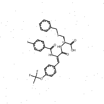 O=C(N[C@@H](CSCc1ccccc1)C(=O)O)C(=Cc1ccc(OC(F)(F)F)cc1)NC(=O)c1ccc(I)cc1